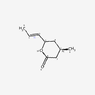 C/C=C/C1C[C@@H](C)CC(=O)O1